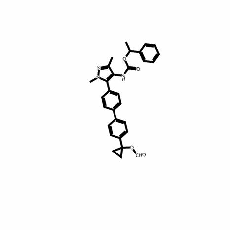 Cc1nn(C)c(-c2ccc(-c3ccc(C4(OC=O)CC4)cc3)cc2)c1NC(=O)OC(C)c1ccccc1